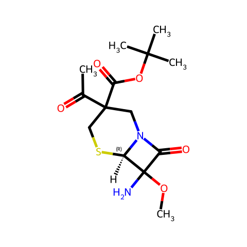 COC1(N)C(=O)N2CC(C(C)=O)(C(=O)OC(C)(C)C)CS[C@@H]21